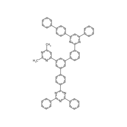 Cc1cc(-c2cc(-c3ccc(-c4nc(-c5ccccc5)nc(-c5ccccc5)n4)cc3)cc(-c3cccc(-c4nc(-c5ccccc5)cc(-c5ccc(-c6ccccc6)cc5)n4)c3)c2)nc(C)n1